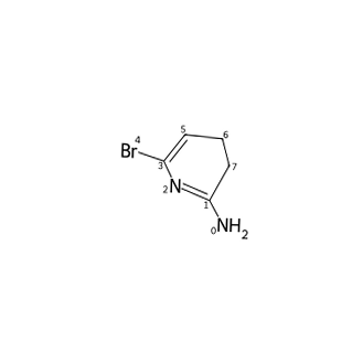 NC1=NC(Br)=CCC1